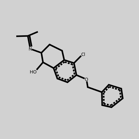 CC(C)=NC1CCc2c(ccc(OCc3ccccc3)c2Cl)C1O